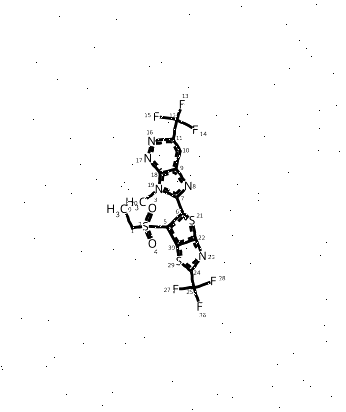 CCS(=O)(=O)c1c(-c2nc3cc(C(F)(F)F)nnc3n2C)sc2nc(C(F)(F)F)sc12